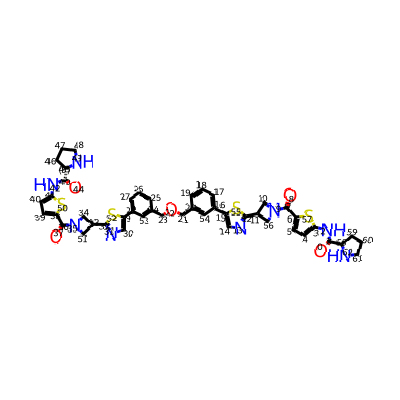 O=C(Nc1ccc(C(=O)N2CC(c3ncc(-c4cccc(COCc5cccc(-c6cnc(C7CN(C(=O)c8ccc(NC(=O)[C@@H]9CCCN9)s8)C7)s6)c5)c4)s3)C2)s1)C1CCCN1